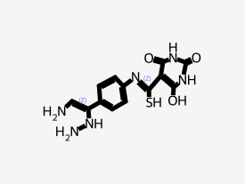 N/C=C(\NN)c1ccc(/N=C(\S)c2c(O)[nH]c(=O)[nH]c2=O)cc1